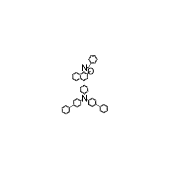 c1ccc(-c2ccc(N(c3ccc(-c4ccccc4)cc3)c3ccc(-c4cc5oc(-c6ccccc6)nc5c5ccccc45)cc3)cc2)cc1